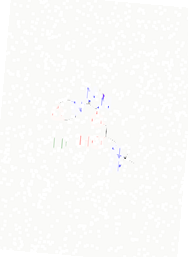 CC(C)(C)NCC(O)COc1nsnc1N1CCOCC1.Cl